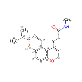 CNC(=O)CCC1=CCOc2ccc3c(c21)C=CC(C(C)C)S3